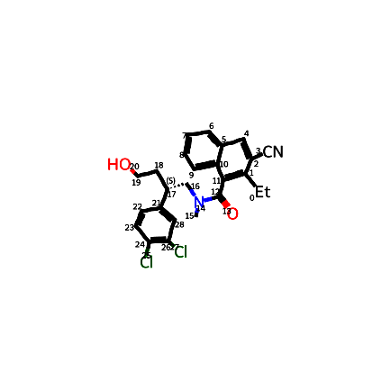 CCc1c(C#N)cc2ccccc2c1C(=O)N(C)C[C@@H](CCO)c1ccc(Cl)c(Cl)c1